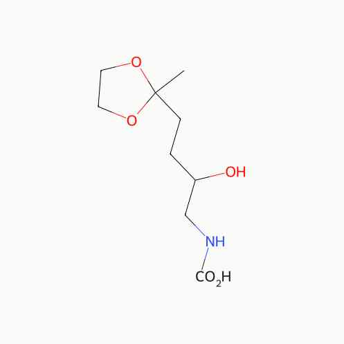 CC1(CCC(O)CNC(=O)O)OCCO1